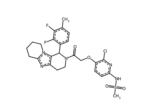 Cc1ccc(C2c3c(nc4n3CCCC4)CCN2C(=O)COc2ccc(NS(C)(=O)=O)nc2Cl)c(F)c1F